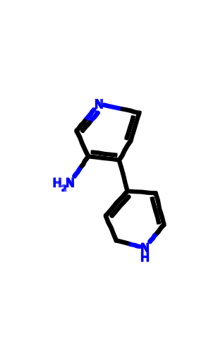 Nc1cnccc1C1=CCNC=C1